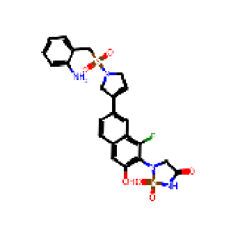 Nc1ccccc1CS(=O)(=O)N1CC=C(c2ccc3cc(O)c(N4CC(=O)NS4(=O)=O)c(F)c3c2)C1